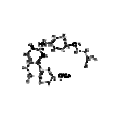 COc1ccc2c(c1)-c1nc(Nc3ccc(OCCN(C)C)cc3)ncc1CC2C